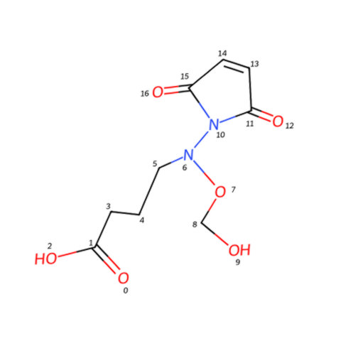 O=C(O)CCCN(OCO)N1C(=O)C=CC1=O